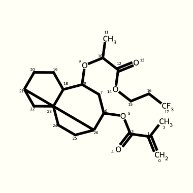 C=C(C)C(=O)OC1CC(OC(C)C(=O)OCCC(F)(F)F)C2CCC3CC2CCC31